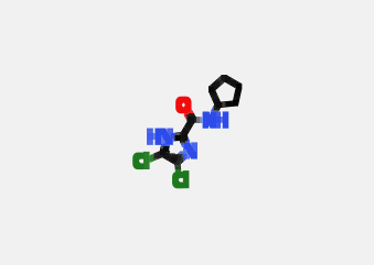 O=C(NC1CCCC1)c1nc(Cl)c(Cl)[nH]1